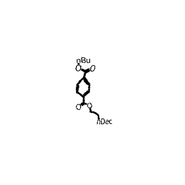 CCCCCCCCCCCCOC(=O)c1ccc(C(=O)OCCCC)cc1